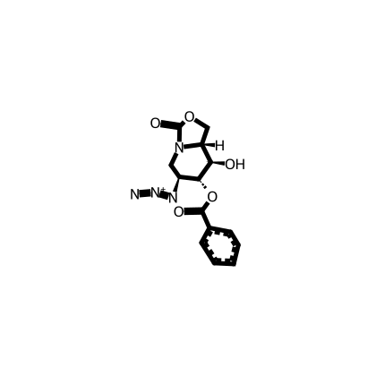 [N-]=[N+]=N[C@H]1CN2C(=O)OC[C@@H]2[C@@H](O)[C@@H]1OC(=O)c1ccccc1